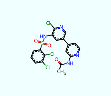 CC(=O)Nc1cc(-c2cnc(Cl)c(NS(=O)(=O)c3cccc(Cl)c3Cl)c2)ccn1